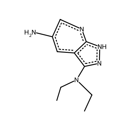 CCN(CC)c1n[nH]c2ncc(N)cc12